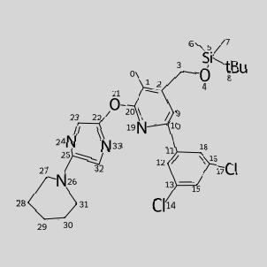 Cc1c(CO[Si](C)(C)C(C)(C)C)cc(-c2cc(Cl)cc(Cl)c2)nc1Oc1cnc(N2CCCCC2)cn1